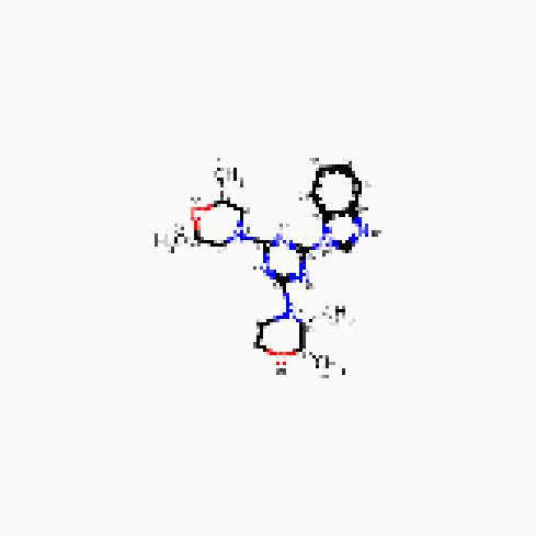 C[C@@H]1CN(c2nc(N3CCO[C@@H](C)[C@H]3C)nc(-n3cnc4ccccc43)n2)C[C@H](C)O1